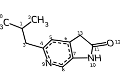 CC(C)Cc1cc2c(cn1)NC(=O)C2